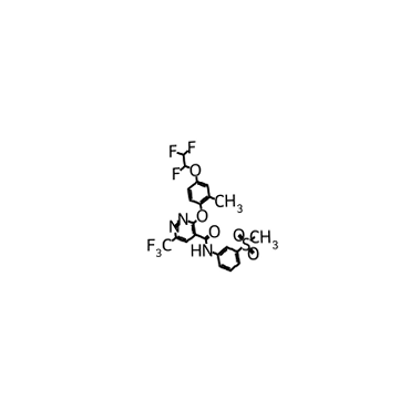 Cc1cc(OC(F)C(F)F)ccc1Oc1nnc(C(F)(F)F)cc1C(=O)Nc1cccc(S(C)(=O)=O)c1